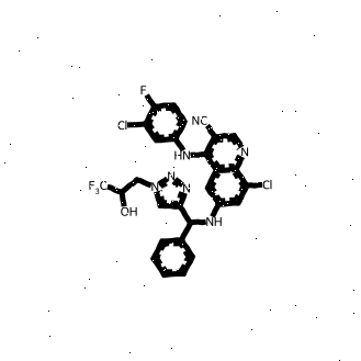 N#Cc1cnc2c(Cl)cc(NC(c3ccccc3)c3cn(CC(O)C(F)(F)F)nn3)cc2c1Nc1ccc(F)c(Cl)c1